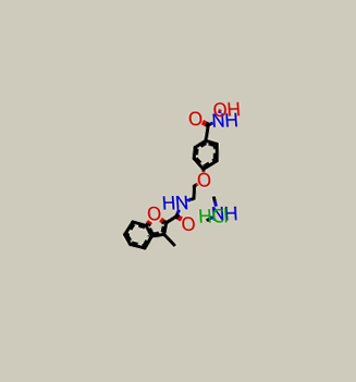 CNC.Cc1c(C(=O)NCCOc2ccc(C(=O)NO)cc2)oc2ccccc12.Cl